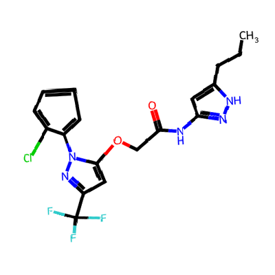 CCCc1cc(NC(=O)COc2cc(C(F)(F)F)nn2-c2ccccc2Cl)n[nH]1